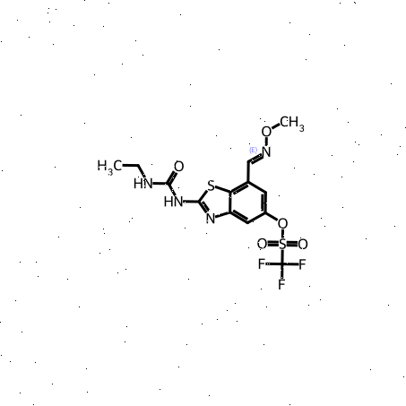 CCNC(=O)Nc1nc2cc(OS(=O)(=O)C(F)(F)F)cc(/C=N/OC)c2s1